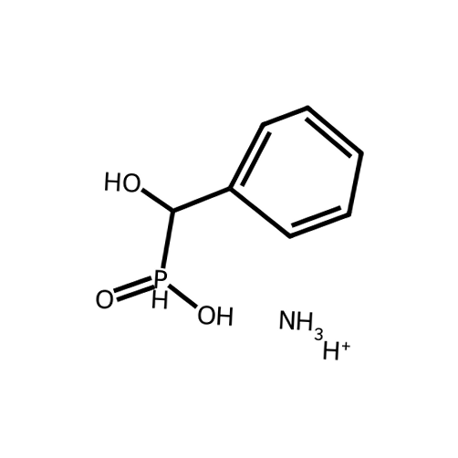 N.O=[PH](O)C(O)c1ccccc1.[H+]